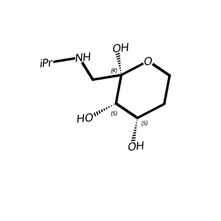 CC(C)NC[C@@]1(O)OCC[C@H](O)[C@@H]1O